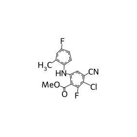 COC(=O)c1c(Nc2ccc(F)cc2C)cc(C#N)c(Cl)c1F